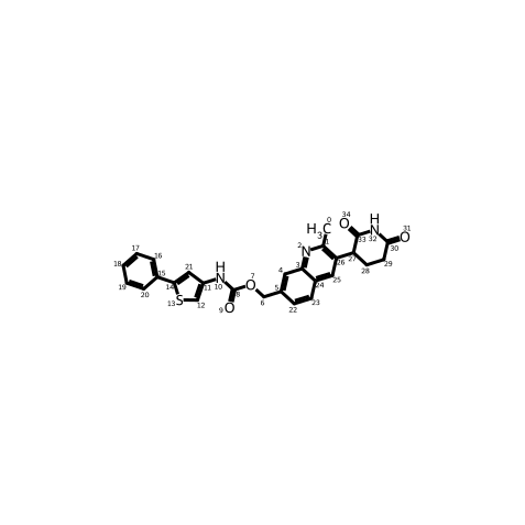 Cc1nc2cc(COC(=O)Nc3csc(-c4ccccc4)c3)ccc2cc1C1CCC(=O)NC1=O